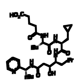 CCCC[C@@H](NC(=O)C[C@H](O)[C@H](CC(C)C)NC(=O)[C@H](CC1CC1)NC(=O)C(NC(=O)CCCC(=O)O)[C@@H](C)CC)c1ccccn1